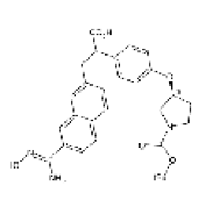 CC(C)(C)OC(=O)N1CC[C@H](Oc2ccc(C(Cc3ccc4ccc(C(N)=NO)cc4c3)C(=O)O)cc2)C1